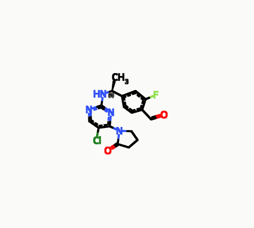 C[C@H](Nc1ncc(Cl)c(N2CCCC2=O)n1)c1ccc(C=O)c(F)c1